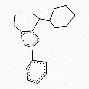 COCc1nn(-c2ccccc2)cc1C(O)C1CCCCC1